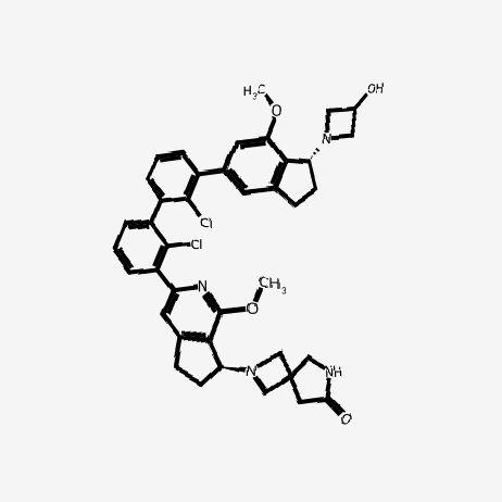 COc1cc(-c2cccc(-c3cccc(-c4cc5c(c(OC)n4)[C@@H](N4CC6(CNC(=O)C6)C4)CC5)c3Cl)c2Cl)cc2c1[C@H](N1CC(O)C1)CC2